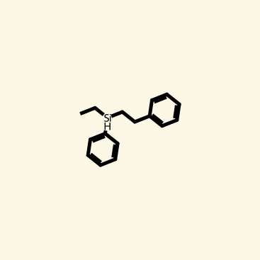 CC[SiH](CCc1ccccc1)c1ccccc1